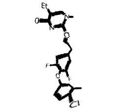 CCc1cn(C)c(OCCc2cc(F)c(Oc3ccc(Cl)c(C)c3)c(F)c2)nc1=O